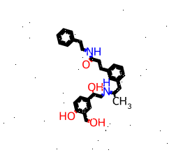 C[C@H](Cc1cccc(CCC(=O)NCCc2ccccc2)c1)NC[C@@H](O)c1ccc(O)c(CO)c1